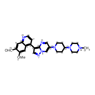 COc1cc2c(-c3cnn4cc(N5CCC(N6CCN(C)CC6)CC5)cnc34)ccnc2cc1C=O